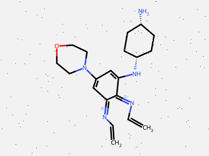 C=C/N=C1/C=C(N2CCOCC2)C=C(N[C@H]2CC[C@@H](N)CC2)/C1=N/C=C